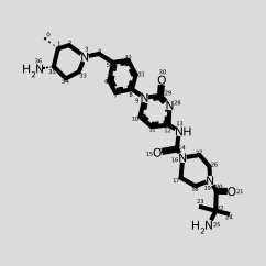 C[C@@H]1CN(Cc2ccc(-n3ccc(NC(=O)N4CCN(C(=O)C(C)(C)N)CC4)nc3=O)cc2)CC[C@@H]1N